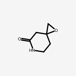 O=C1CC2(CCN1)CO2